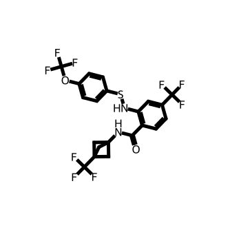 O=C(NC12CC(C(F)(F)F)(C1)C2)c1ccc(C(F)(F)F)cc1NSc1ccc(OC(F)(F)F)cc1